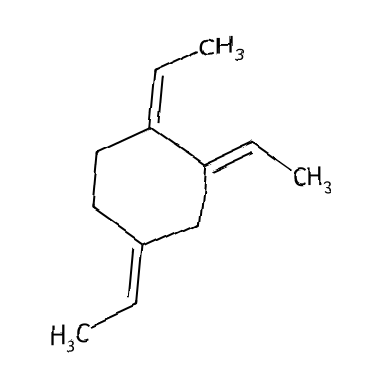 CC=C1CCC(=CC)C(=CC)C1